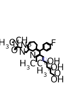 CC(C)c1nc2c(c(-c3ccc(F)cc3)c1/C=C/[C@@H](O)C[C@@H](O)CC(=O)O)CCCc1nc(C(=O)N(C)C)ncc1-2